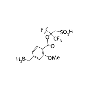 BCc1ccc(C(=O)OC(CS(=O)(=O)O)(C(F)(F)F)C(F)(F)F)c(OC)c1